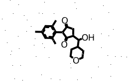 Cc1cc(C)c(C2C(=O)CC(C(O)C3CCOCC3)C2=O)c(C)c1